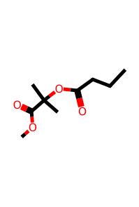 CCCC(=O)OC(C)(C)C(=O)OC